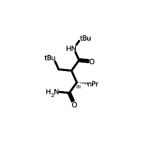 CCC[C@H](C(N)=O)C(CC(C)(C)C)C(=O)NC(C)(C)C